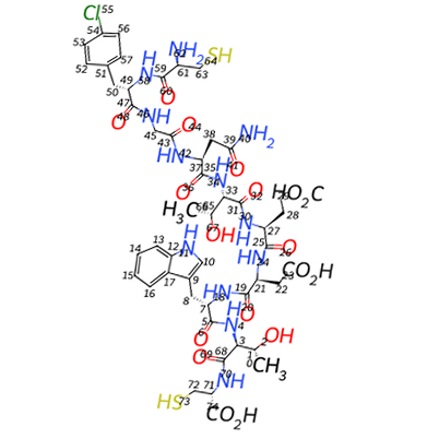 C[C@@H](O)[C@H](NC(=O)[C@H](Cc1c[nH]c2ccccc12)NC(=O)[C@H](CC(=O)O)NC(=O)[C@H](CC(=O)O)NC(=O)[C@@H](NC(=O)[C@H](CC(N)=O)NC(=O)CNC(=O)[C@H](Cc1ccc(Cl)cc1)NC(=O)[C@@H](N)CS)[C@@H](C)O)C(=O)N[C@@H](CS)C(=O)O